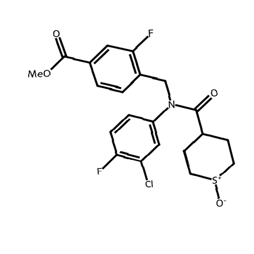 COC(=O)c1ccc(CN(C(=O)C2CC[S+]([O-])CC2)c2ccc(F)c(Cl)c2)c(F)c1